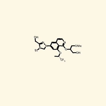 CCN1CN(c2cc(O[C@@H](C)C(F)(F)F)c3c(OC(CO)COC)nccc3c2)N=C1CO